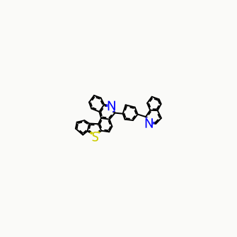 c1ccc2c(-c3ccc(-c4nc5ccccc5c5c4ccc4sc6ccccc6c45)cc3)nccc2c1